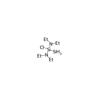 CCN(CC)[Si]([SiH3])(Cl)N(CC)CC